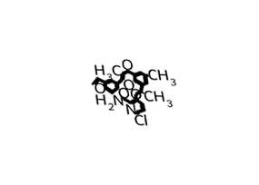 Cc1cc([C@@H](C)Oc2ccc(Cl)nc2C(N)=O)c2oc(-c3ccc4occc4c3)c(C)c(=O)c2c1